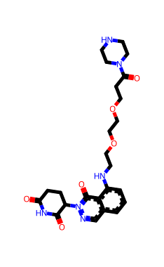 O=C1CCC(n2ncc3cccc(NCCOCCOCCC(=O)N4CCNCC4)c3c2=O)C(=O)N1